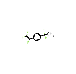 CC(F)(F)c1ccc(C(F)=C(F)F)cc1